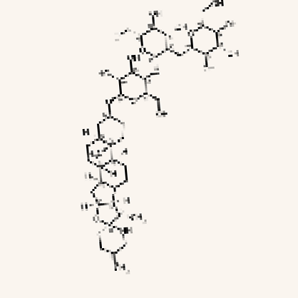 C[C@H]1CC[C@]2(NC1)O[C@H]1C[C@@H]3C(CC[C@H]4[C@H]3CC[C@H]3C[C@@H](O[C@@H]5O[C@H](CO)[C@H](O[C@H]6O[C@H](CO)[C@@H](O)[C@H](O)[C@H]6C[C@@H]6O[C@H](CO)[C@@H](O)[C@H](O)[C@H]6O)[C@H](O)[C@H]5O)CC[C@@]34C)[C@H]1[C@@H]2C